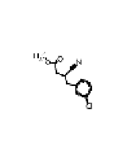 COC(=O)CC(C#N)Cc1cccc(Cl)c1